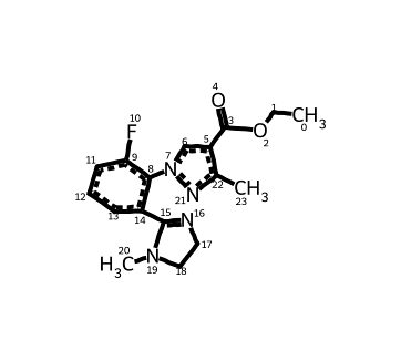 CCOC(=O)c1cn(-c2c(F)cccc2C2=NCCN2C)nc1C